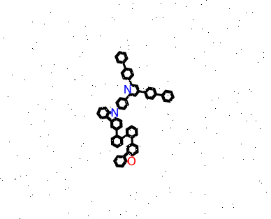 c1ccc(-c2ccc(-c3cc(-c4ccc(-c5ccccc5)cc4)nc(-c4ccc(-n5c6ccccc6c6cc(-c7ccccc7-c7ccccc7-c7ccc8oc9ccccc9c8c7)ccc65)cc4)c3)cc2)cc1